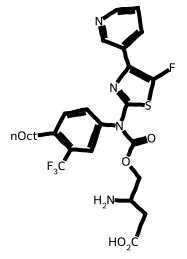 CCCCCCCCc1ccc(N(C(=O)OCC(N)CC(=O)O)c2nc(-c3cccnc3)c(F)s2)cc1C(F)(F)F